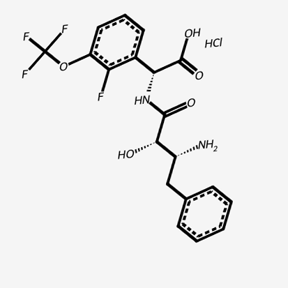 Cl.N[C@H](Cc1ccccc1)[C@H](O)C(=O)N[C@@H](C(=O)O)c1cccc(OC(F)(F)F)c1F